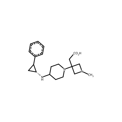 CN1CC(CC(=O)O)(N2CCC(N[C@@H]3CC3c3ccccc3)CC2)C1